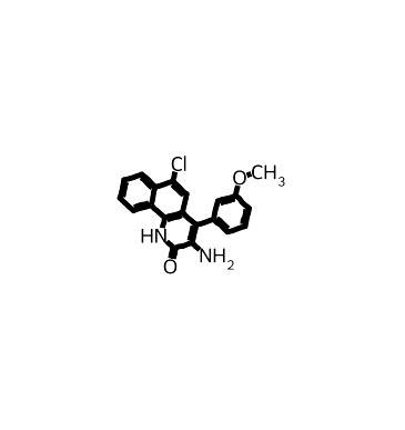 COc1cccc(-c2c(N)c(=O)[nH]c3c2cc(Cl)c2ccccc23)c1